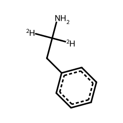 [2H]C([2H])(N)Cc1ccccc1